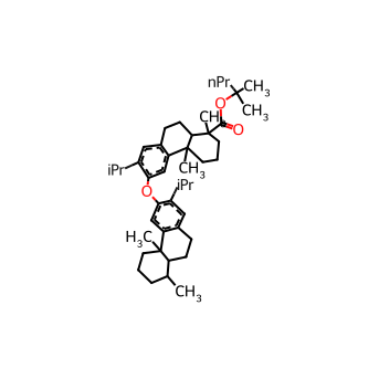 CCCC(C)(C)OC(=O)C1(C)CCCC2(C)c3cc(Oc4cc5c(cc4C(C)C)CCC4C(C)CCCC54C)c(C(C)C)cc3CCC12